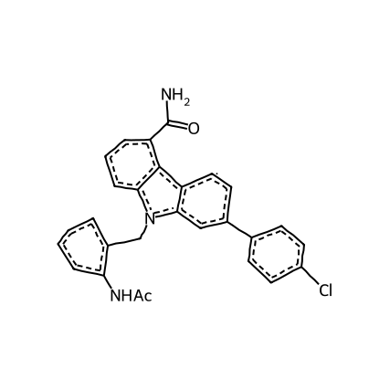 CC(=O)Nc1ccccc1Cn1c2cc(-c3ccc(Cl)cc3)c[c]c2c2c(C(N)=O)cccc21